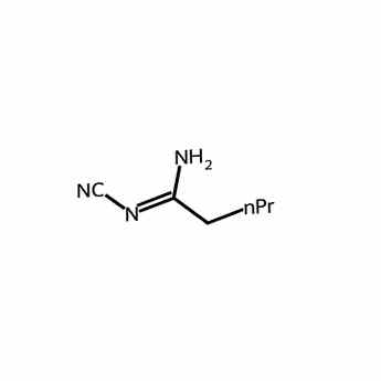 CCCC/C(N)=N/C#N